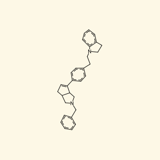 C1=C(c2ccc(CCN3CCc4ccccc43)cc2)C2CN(Cc3ccccc3)CC2C1